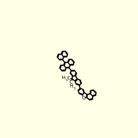 CC1(C)c2cc(-c3ccc4oc5ccc6ccccc6c5c4c3)ccc2-c2ccc(-c3c4ccccc4c(-c4cccc5ccccc45)c4ccccc34)cc21